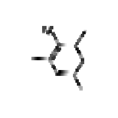 CC1=CC(C)=C(C(F)(F)F)C(C)C1